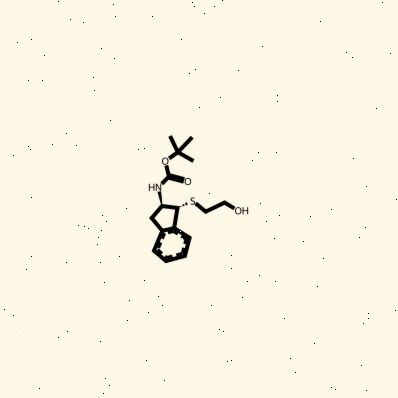 CC(C)(C)OC(=O)N[C@@H]1Cc2ccccc2[C@H]1SCCO